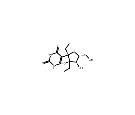 CC[C@@]1(c2c[nH]c(=O)[nH]c2=O)O[C@H](CO)[C@@H](O)[C@]1(O)CC